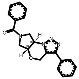 O=C(c1ccccc1)N1C[C@@H]2[C@@H](C1)OCc1c(-c3ccccc3)nnn12